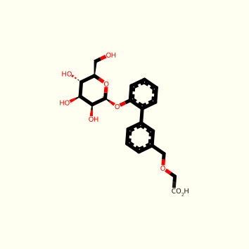 O=C(O)COCc1cccc(-c2ccccc2O[C@@H]2O[C@H](CO)[C@@H](O)[C@H](O)[C@@H]2O)c1